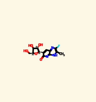 Cc1[nH]c2nc(=O)c([C@@H]3O[C@H](CO)C(O)[C@@H]3O)cc-2nc1F